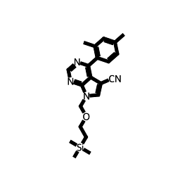 Cc1ccc(-c2ncnc3c2c(C#N)cn3COCC[Si](C)(C)C)c(C)c1